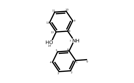 Cc1ccccc1Nc1ccccc1O